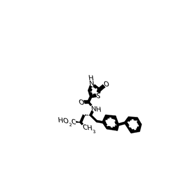 C[C@H](C[C@@H](Cc1ccc(-c2ccccc2)cc1)NC(=O)c1c[nH]c(=O)s1)C(=O)O